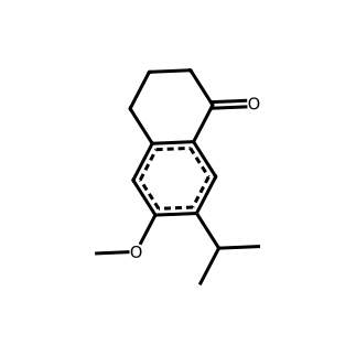 COc1cc2c(cc1C(C)C)C(=O)CCC2